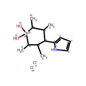 CC1C(c2ccc[nH]2)C(C)[CH](C)[Ti+2]([OH])([OH])[CH]1C.[Cl-].[Cl-]